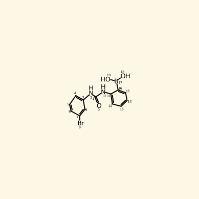 O=C(Nc1cccc(Br)c1)Nc1ccccc1B(O)O